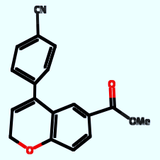 COC(=O)c1ccc2c(c1)C(c1ccc(C#N)cc1)=CCO2